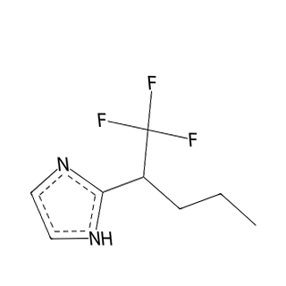 CCCC(c1ncc[nH]1)C(F)(F)F